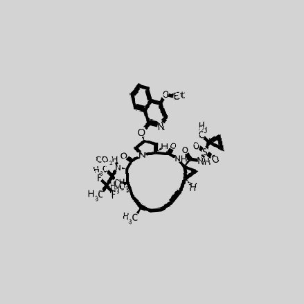 CCOc1cnc(O[C@@H]2C[C@H]3C(=O)N[C@]4(C(=O)NS(=O)(=O)C5(C)CC5)C[C@H]4C=CCC[C@@H](C)C[C@@H](C)[C@H](N(C(=O)O)C(C)(C)C(C)(F)F)C(=O)N3C2)c2ccccc12